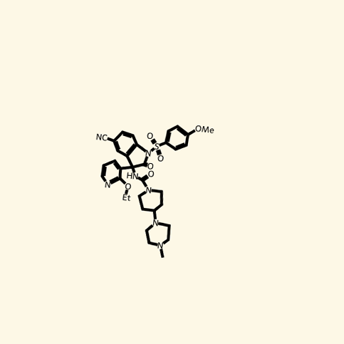 CCOc1ncccc1C1(NC(=O)N2CCC(N3CCN(C)CC3)CC2)C(=O)N(S(=O)(=O)c2ccc(OC)cc2)c2ccc(C#N)cc21